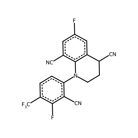 N#Cc1cc(F)cc2c1N(c1ccc(C(F)(F)F)c(F)c1C#N)CCC2C#N